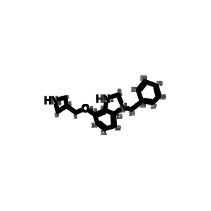 [CH]1Nc2c(OCC3CNC3)cccc2N1Cc1ccccc1